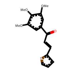 COc1cc(C(=O)/C=C/c2cccs2)cc(OC)c1OC